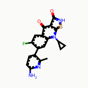 Cc1nc(N)ccc1-c1cc2c(cc1F)c(=O)c1c(=O)[nH]sc1n2C1CC1